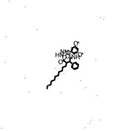 CCCCCCCCCCCC(C(=O)ONN)C(C(=O)Nc1c(OC)cc(OC)cc1OC)c1ccccc1